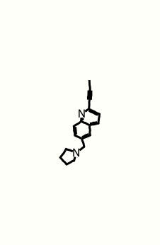 CC#Cc1ccc2cc(CN3CCCC3)ccc2n1